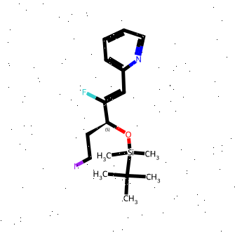 CC(C)(C)[Si](C)(C)O[C@@H](CCI)C(F)=Cc1ccccn1